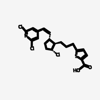 O=C(O)c1ccc(CCC[C@H]2[C@H](Cl)CC[C@@H]2/C=C\c2cc(Cl)nc(Cl)c2)s1